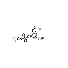 C=C[n+]1ccn(CCCC)c1.O=S(=O)(NC(F)(F)F)C(F)(F)F